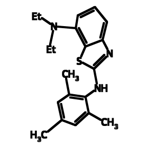 CCN(CC)c1cccc2nc(Nc3c(C)cc(C)cc3C)sc12